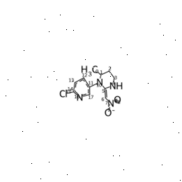 CC1CCNC(=C[N+](=O)[O-])N1c1ccc(Cl)nc1